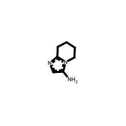 Nc1cnc2n1CCCC2